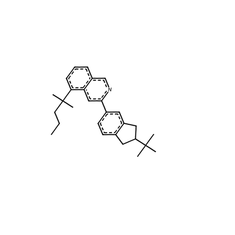 CCCC(C)(C)c1cccc2cnc(-c3ccc4c(c3)CC(C(C)(C)C)C4)cc12